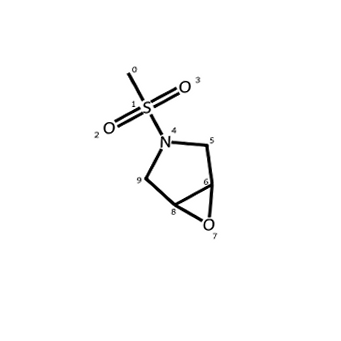 CS(=O)(=O)N1CC2OC2C1